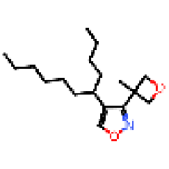 CCCCCCC(CCCC)c1conc1C1(C)COC1